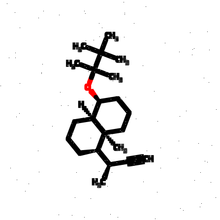 C#C[C@@H](C)[C@H]1CCC[C@H]2[C@@H](O[Si](C)(C)C(C)(C)C)CCC[C@@]12C